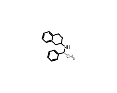 C[C@@H](NC1CCc2ccccc2C1)c1ccccc1